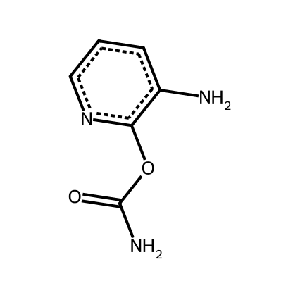 NC(=O)Oc1ncccc1N